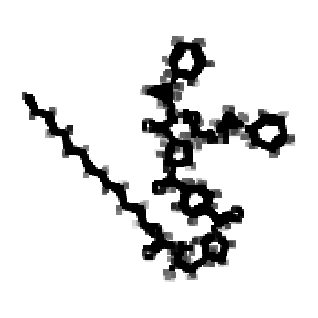 CCCCCCCCCCCCCCOC(=O)N[C@@H](C)C[C@@H]1CCN(C(=O)c2ccc(C(=O)N3C[C@@H](C(=O)N[C@H]4C[C@@H]4c4ccccc4)[C@H](C(=O)N[C@H]4C[C@@H]4c4ccccc4)C3)cc2)C1